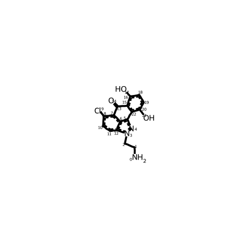 NCCn1nc2c3c(c(Cl)ccc31)C(=O)c1c(O)ccc(O)c1-2